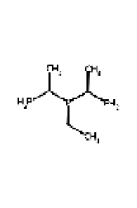 CCP(C(C)P)C(C)P